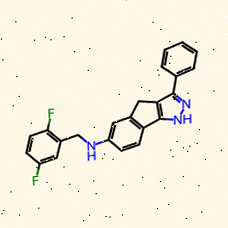 Fc1ccc(F)c(CNc2ccc3c(c2)Cc2c(-c4ccccc4)n[nH]c2-3)c1